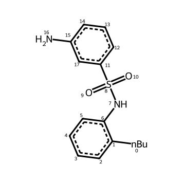 CCCCc1ccccc1NS(=O)(=O)c1cccc(N)c1